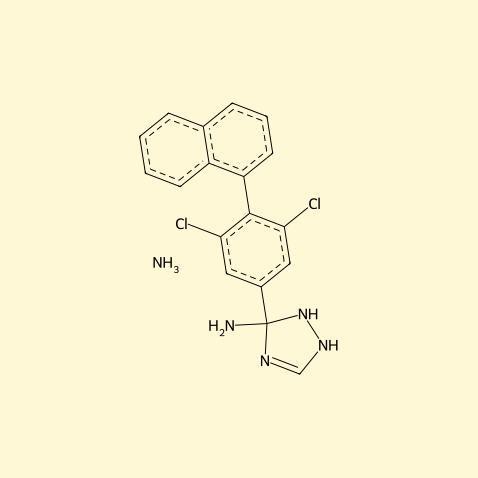 N.NC1(c2cc(Cl)c(-c3cccc4ccccc34)c(Cl)c2)N=CNN1